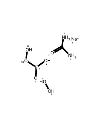 NC(N)=O.OO.[Na+].[O-]B(O)OO